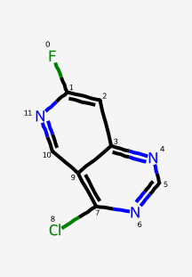 Fc1cc2ncnc(Cl)c2cn1